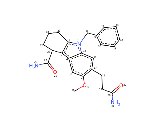 COc1cc2c3c(n(Cc4ccccc4)c2cc1CCC(N)=O)CCCC3C(N)=O